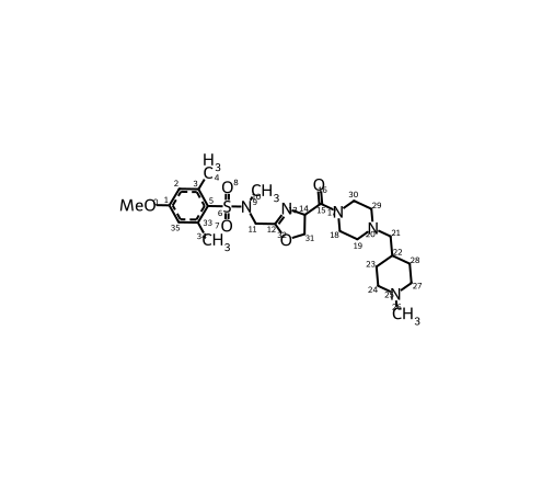 COc1cc(C)c(S(=O)(=O)N(C)CC2=NC(C(=O)N3CCN(CC4CCN(C)CC4)CC3)CO2)c(C)c1